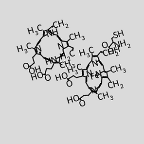 C=CC1=C(C)C2=NC/1=C\c1c(C)c(C=C)c3[n]1[Fe][n]1/c(c(C)c(CCC(=O)O)/c1=C/C1=NC(=C\3)/C(C)=C1CCC(=O)O)=C\2.C=CC1=C(C)c2cc3[nH]c(cc4nc(cc5[nH]c(cc1n2)c(C)c5CCC(=O)O)C(CCC(=O)O)=C4C)c(C)c3C=C.NC(CS)C(=O)O